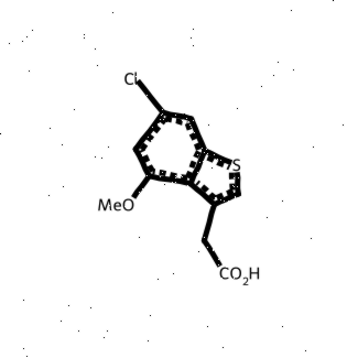 COc1cc(Cl)cc2scc(CC(=O)O)c12